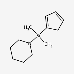 C[Si](C)(C1=CC=CC1)N1CCCCC1